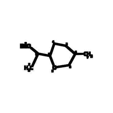 CC(C)COC(C)C1CCC(C)CO1